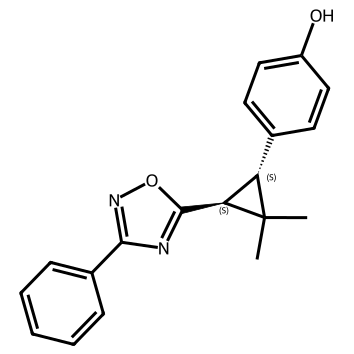 CC1(C)[C@@H](c2ccc(O)cc2)[C@@H]1c1nc(-c2ccccc2)no1